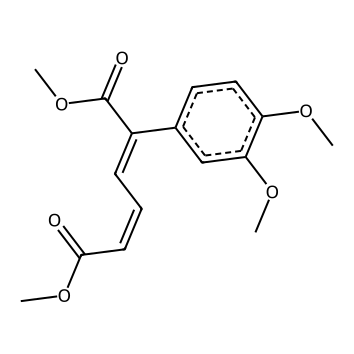 COC(=O)/C=C\C=C(\C(=O)OC)c1ccc(OC)c(OC)c1